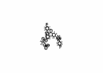 O=C(c1ccc(-c2cn(-c3ccc(F)cc3)nn2)cc1)c1c(-c2ccc(F)cc2)sc2cc(OC(=O)C3(CO[N+](=O)[O-])CC3)ccc12